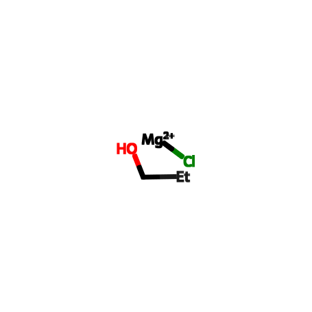 CCCO.[Mg+2][Cl]